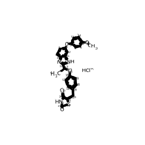 COc1ccc(Oc2ccc3nc(C(C)Oc4ccc(CC5SC(=O)NC5=O)cc4)[nH]c3c2)cc1.Cl